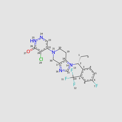 CC[C@H](c1ccc(F)cc1C(F)(F)F)n1cnc2c1CCN(c1cn[nH]c(=O)c1Cl)C2